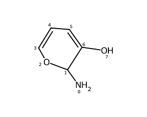 NC1OC=CC=C1O